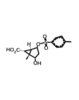 Cc1ccc(S(=O)(=O)O[C@H]2C[C@@H](O)[C@@]3(C)[C@H]2[C@H]3C(=O)O)cc1